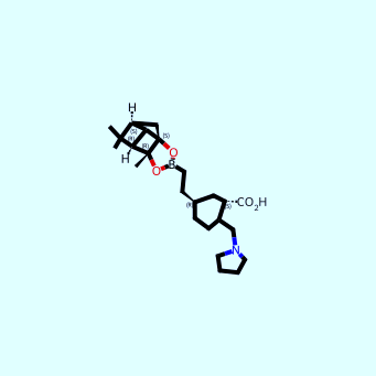 CC1(C)[C@H]2C3[C@@H]1C[C@]31OB(CC[C@@H]3CCC(CN4CCCC4)[C@@H](C(=O)O)C3)O[C@]21C